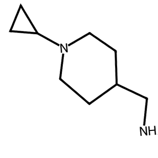 NCC1CCN(C2CC2)CC1